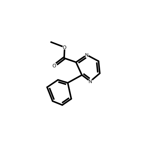 COC(=O)c1nccnc1-c1ccccc1